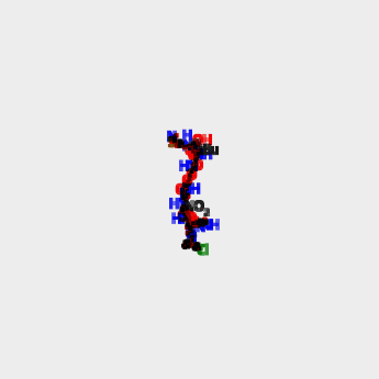 Cc1ncsc1-c1ccc(CNC(=O)[C@@H]2C[C@@H](O)CN2C(=O)[C@@H](NC(=O)CCC(=O)NCCOCCOCCNC(=O)N2CCC(CNc3ccc(S(=O)(=O)NC(=O)c4ccc(N5CCN(CC6=C(c7ccc(Cl)cc7)CC(C)(C)CC6)CC5)cc4Oc4cnc5[nH]ccc5c4)cc3[N+](=O)[O-])CC2)C(C)(C)C)cc1